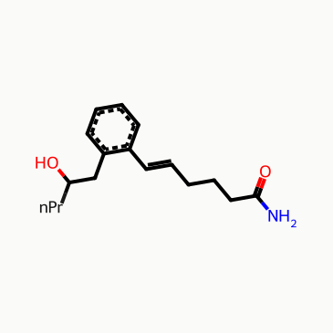 CCCC(O)Cc1ccccc1/C=C/CCCC(N)=O